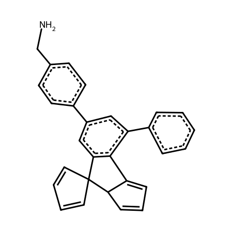 NCc1ccc(-c2cc(-c3ccccc3)c3c(c2)C2(C=CC=C2)C2C=CC=C32)cc1